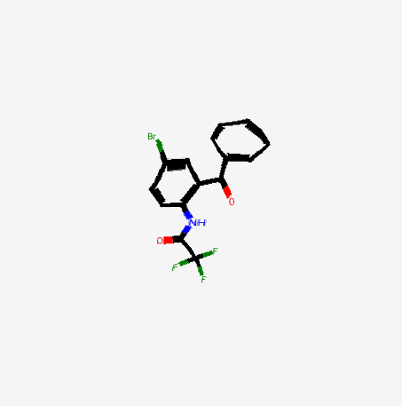 O=C(c1ccccc1)c1cc(Br)ccc1NC(=O)C(F)(F)F